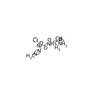 CN1CCN(Cc2nc(-c3ccccc3)oc2C(=O)CNC(=O)[CH]CC(C)(C)C(N)=O)CC1